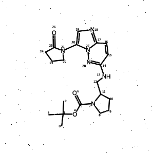 CC(C)(C)OC(=O)N1CCCC1CNc1ccc2ncc(N3CCCC3=O)n2n1